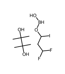 CC(C)(O)C(C)(C)O.OBOC(I)CC(F)F